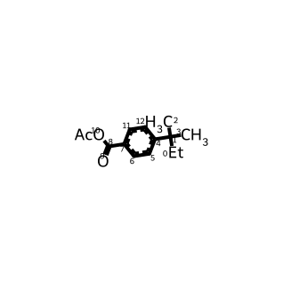 CCC(C)(C)c1ccc(C(=O)OC(C)=O)cc1